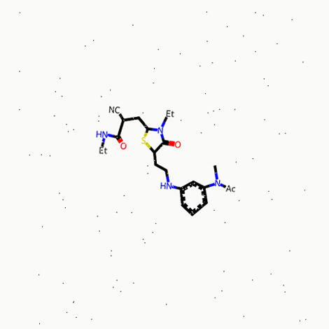 CCNC(=O)C(C#N)CC1SC(CCNc2cccc(N(C)C(C)=O)c2)C(=O)N1CC